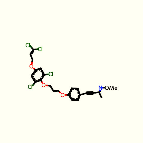 CON=C(C)C#Cc1ccc(OCCCOc2c(Cl)cc(OCC=C(Cl)Cl)cc2Cl)cc1